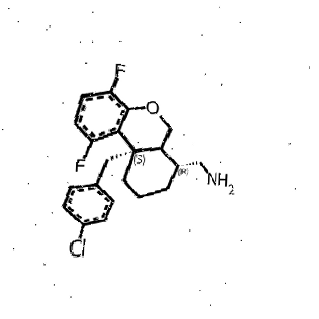 NC[C@@H]1CCC[C@@]2(Cc3ccc(Cl)cc3)c3c(F)ccc(F)c3OCC12